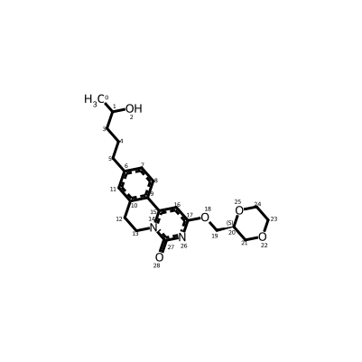 CC(O)CCCc1ccc2c(c1)CCn1c-2cc(OC[C@@H]2COCCO2)nc1=O